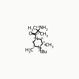 C[C@@H]1CN(C(=O)C(C)(C)N)C[C@H](C)N1C(C)(C)C